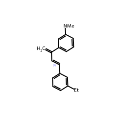 C=C(/C=C/c1cccc(CC)c1)c1cccc(NC)c1